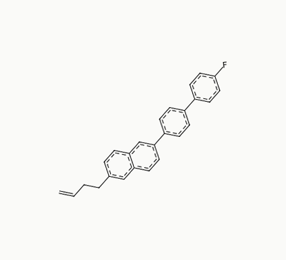 C=CCCc1ccc2cc(-c3ccc(-c4ccc(F)cc4)cc3)ccc2c1